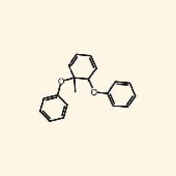 CC1(Oc2ccccc2)C=CC=CC1Oc1ccccc1